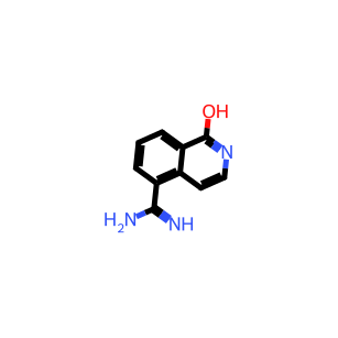 N=C(N)c1cccc2c(O)nccc12